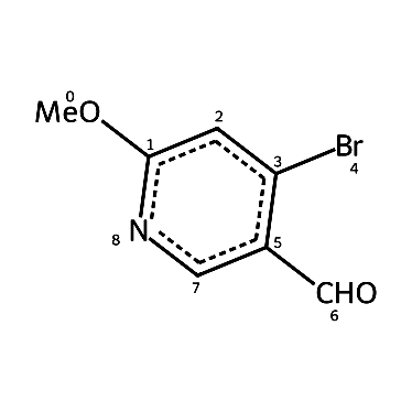 COc1cc(Br)c(C=O)cn1